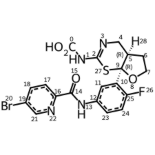 O=C(O)NC1=NC[C@H]2CCO[C@@]2(c2cc(NC(=O)c3ccc(Br)cn3)ccc2F)S1